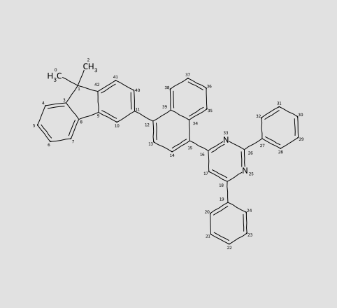 CC1(C)c2ccccc2-c2cc(-c3ccc(-c4cc(-c5ccccc5)nc(-c5ccccc5)n4)c4ccccc34)ccc21